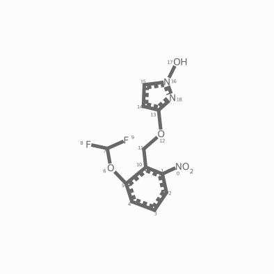 O=[N+]([O-])c1cccc(OC(F)F)c1COc1ccn(O)n1